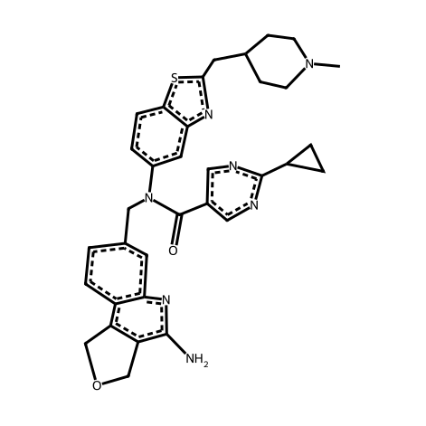 CN1CCC(Cc2nc3cc(N(Cc4ccc5c6c(c(N)nc5c4)COC6)C(=O)c4cnc(C5CC5)nc4)ccc3s2)CC1